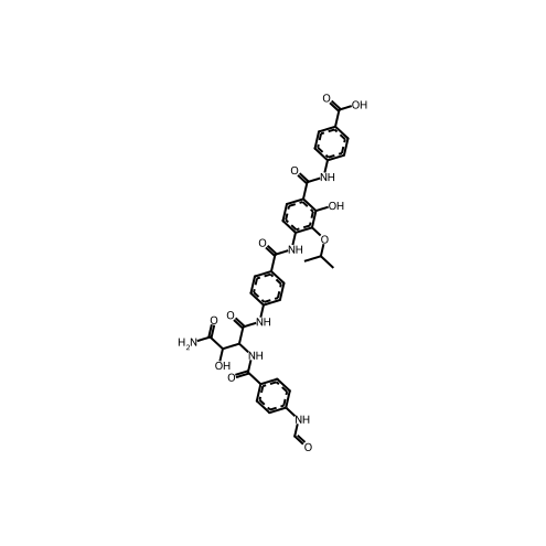 CC(C)Oc1c(NC(=O)c2ccc(NC(=O)C(NC(=O)c3ccc(NC=O)cc3)C(O)C(N)=O)cc2)ccc(C(=O)Nc2ccc(C(=O)O)cc2)c1O